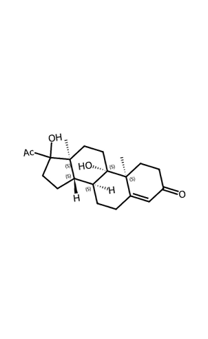 CC(=O)C1(O)CC[C@H]2[C@@H]3CCC4=CC(=O)CC[C@]4(C)[C@]3(O)CC[C@@]21C